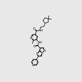 Cc1ncc(C(=O)NCCN2CCC(C)(C)C2)cc1NC(=O)c1cnn2cc(-c3ccncc3)sc12